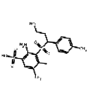 Cc1ccc(C(CCO)S(=O)(=O)c2c(N)c(S(=O)(=O)O)cc(C)c2F)cc1